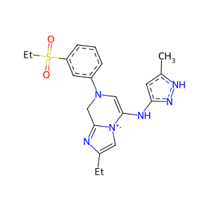 CCC1=C[N+]2C(Nc3cc(C)[nH]n3)=CN(c3cccc(S(=O)(=O)CC)c3)CC2=N1